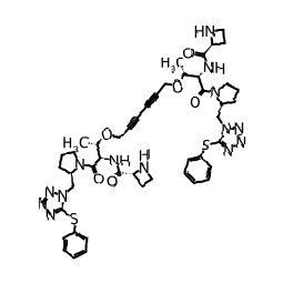 C[C@H](OCC#CC#CCO[C@H](C)[C@H](NC(=O)[C@@H]1CCN1)C(=O)N1CCC[C@H]1Cn1nnnc1Sc1ccccc1)[C@@H](NC(=O)[C@H]1CCN1)C(=O)N1CCC[C@@H]1Cn1nnnc1Sc1ccccc1